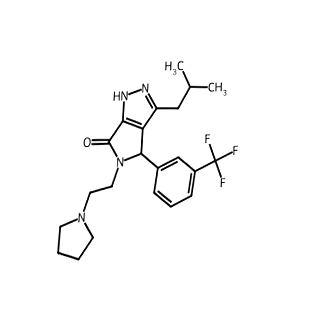 CC(C)Cc1n[nH]c2c1C(c1cccc(C(F)(F)F)c1)N(CCN1CCCC1)C2=O